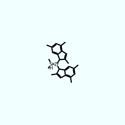 CC1=Cc2c(C)cc(C)cc2[CH]1[Zr]([CH]1C(C)=Cc2c(C)cc(C)cc21)[SiH](C)C